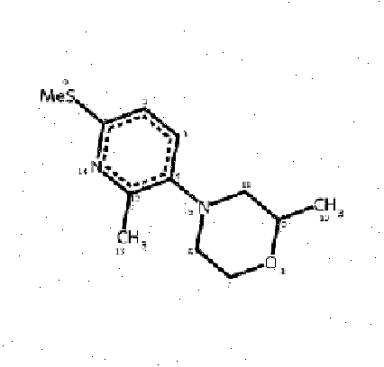 CSc1ccc(N2CCOC(C)C2)c(C)n1